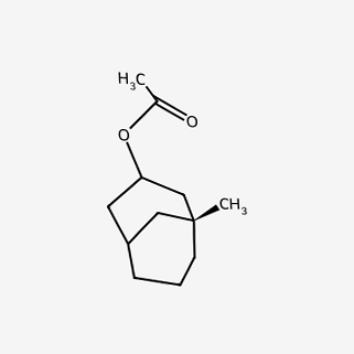 CC(=O)OC1CC2CCC[C@](C)(C2)C1